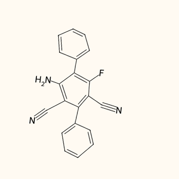 N#Cc1c(N)c(-c2ccccc2)c(F)c(C#N)c1-c1ccccc1